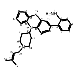 CC(=O)Nc1ccccc1-c1ccc2c(c1)Sc1ccccc1N2C1CCN(CC=C(C)C)CC1